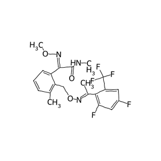 CNC(=O)/C(=N/OC)c1cccc(C)c1CO/N=C(\C)c1c(F)cc(F)cc1C(F)(F)F